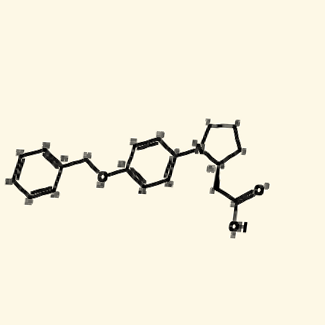 O=C(O)C[C@@H]1CCCN1c1ccc(OCc2ccccc2)cc1